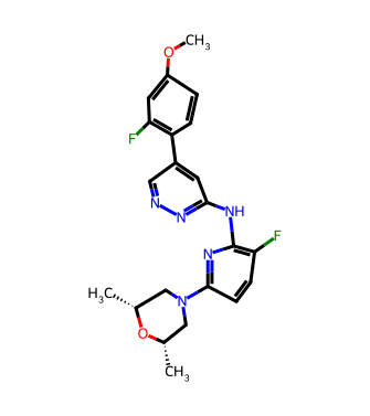 COc1ccc(-c2cnnc(Nc3nc(N4C[C@@H](C)O[C@@H](C)C4)ccc3F)c2)c(F)c1